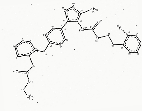 CCOC(=O)Cc1ccccc1Sc1ccc(-c2onc(C)c2NC(=O)OCCc2ccccc2F)cc1